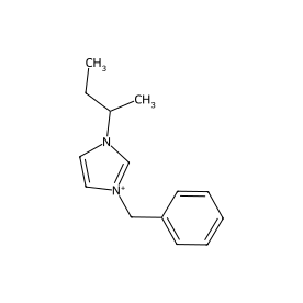 CCC(C)n1cc[n+](Cc2ccccc2)c1